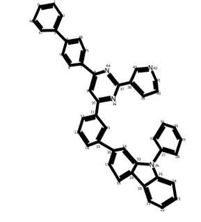 c1ccc(-c2ccc(-c3cc(-c4cccc(-c5ccc6c7ccccc7n(-c7ccccc7)c6c5)c4)nc(-c4cccnc4)n3)cc2)cc1